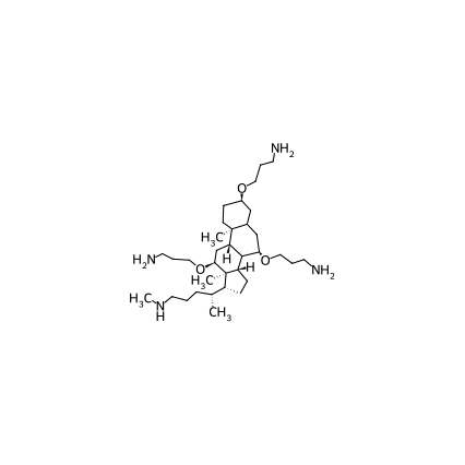 CNCCC[C@@H](C)[C@H]1CC[C@H]2C3[C@H](OCCCN)CC4C[C@H](OCCCN)CC[C@]4(C)[C@H]3C[C@H](OCCCN)[C@]12C